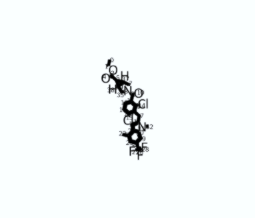 CCOC(=O)C1[C@H]2CN(C(=O)c3ccc(Cl)c(Cc4cc5c(C)cc(C(F)(F)F)cc5n4C)c3Cl)C[C@@H]12